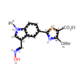 CCOC(=O)c1sc(-c2ccc3c(c2)c(/C=N/O)cn3C(C)C)nc1OC